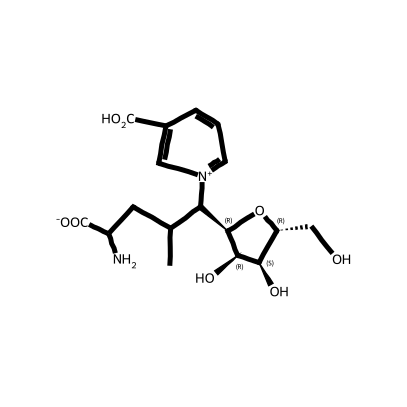 CC(CC(N)C(=O)[O-])C([C@H]1O[C@H](CO)[C@@H](O)[C@H]1O)[n+]1cccc(C(=O)O)c1